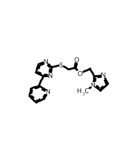 Cn1ccnc1COC(=O)CSc1nccc(-c2ccccn2)n1